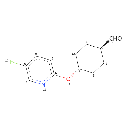 O=C[C@H]1CC[C@H](Oc2ccc(F)cn2)CC1